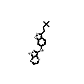 CC(C)(C)CCc1noc2cc(Nc3n[nH]c4nccnc34)ccc12